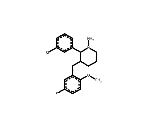 COc1ccc(F)cc1CC1CCCN(N)C1c1cccc(Cl)c1